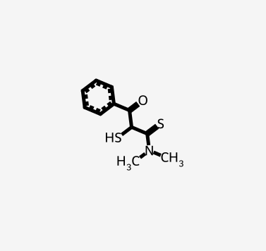 CN(C)C(=S)C(S)C(=O)c1ccccc1